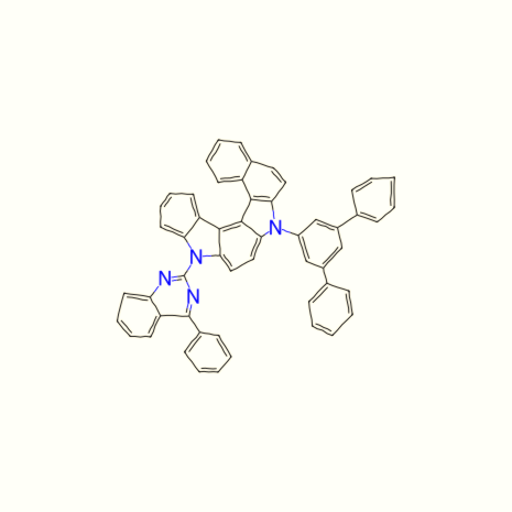 c1ccc(-c2cc(-c3ccccc3)cc(-n3c4ccc5ccccc5c4c4c5c6ccccc6n(-c6nc(-c7ccccc7)c7ccccc7n6)c5ccc43)c2)cc1